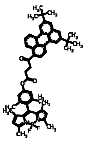 CC1=CC(C)=[N+]2C1=C(c1c(C)cc(OC(=O)CCC(=O)c3ccc4c5cc(C(C)(C)C)cc6cc(C(C)(C)C)cc(c7cccc3c74)c65)cc1C)c1c(C)cc(C)n1[B-]2(F)F